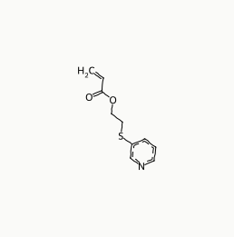 C=CC(=O)OCCSc1cccnc1